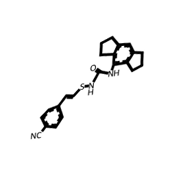 N#Cc1ccc(/C=C/SNC(=O)Nc2c3c(cc4c2CCC4)CCC3)cc1